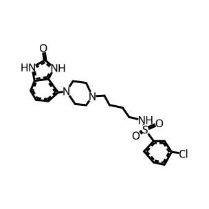 O=c1[nH]c2cccc(N3CCN(CCCCNS(=O)(=O)c4cccc(Cl)c4)CC3)c2[nH]1